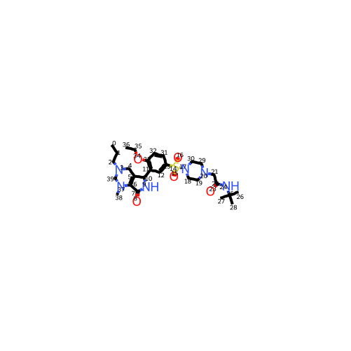 CCCN1CC2=C(C(=O)NC2c2cc(S(=O)(=O)N3CCN(CC(=O)NC(C)(C)C)CC3)ccc2OCC)N(C)C1